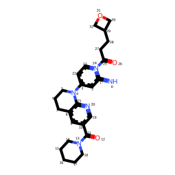 N=c1cc(N2CCCc3cc(C(=O)N4CCCCC4)cnc32)ccn1C(=O)CCC1COC1